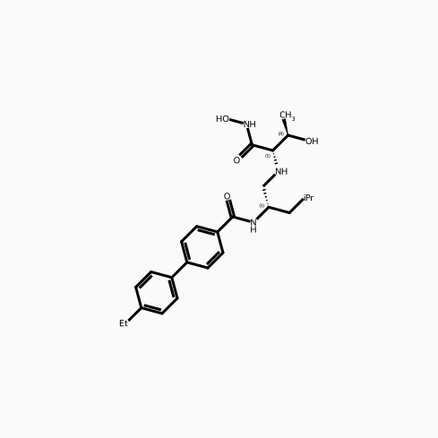 CCc1ccc(-c2ccc(C(=O)N[C@H](CN[C@H](C(=O)NO)[C@@H](C)O)CC(C)C)cc2)cc1